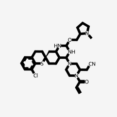 C=CC(=O)N1CCN(C2NC(OCC3CCCN3C)NC3C[C@@]4(CCc5cccc(Cl)c5S4)CCC32)CC1CC#N